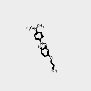 CN(C)c1ccc(-n2nc3ccc(OC/C=C/[123I])cc3n2)cc1